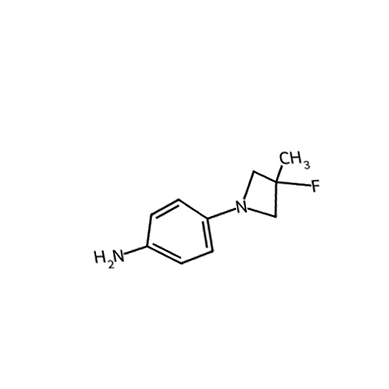 CC1(F)CN(c2ccc(N)cc2)C1